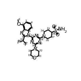 COc1cccc2c1nc(C(F)F)n2-c1nc(N2CCOCC2)nc(N2CCC(S(N)(=O)=O)CC2)n1